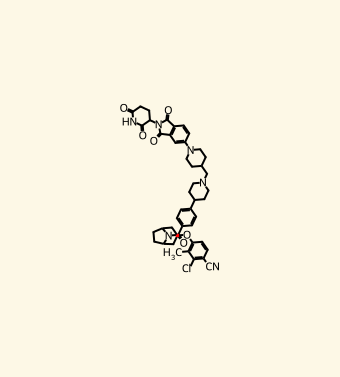 Cc1c(OC2CC3CCC(C2)N3C(=O)c2ccc(C3CCN(CC4CCN(c5ccc6c(c5)C(=O)N(C5CCC(=O)NC5=O)C6=O)CC4)CC3)cc2)ccc(C#N)c1Cl